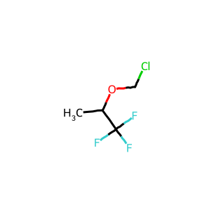 CC(OCCl)C(F)(F)F